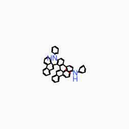 c1ccc(Nc2ccc(-c3ccc(Nc4ccccc4)c(-c4cc5ccccc5c5ccccc45)c3-c3cc4ccccc4c4ccccc34)cc2)cc1